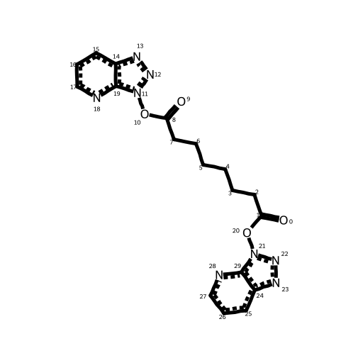 O=C(CCCCCCC(=O)On1nnc2cccnc21)On1nnc2cccnc21